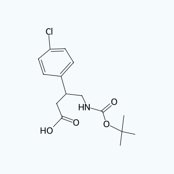 CC(C)(C)OC(=O)NCC(CC(=O)O)c1ccc(Cl)cc1